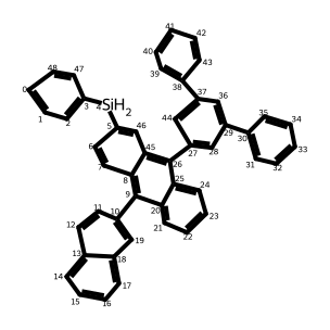 c1ccc([SiH2]c2ccc3c(-c4ccc5ccccc5c4)c4ccccc4c(-c4cc(-c5ccccc5)cc(-c5ccccc5)c4)c3c2)cc1